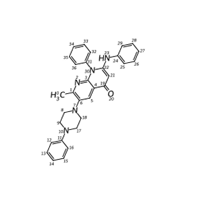 Cc1nc2c(cc1N1CCN(c3ccccc3)CC1)c(=O)cc(Nc1ccccc1)n2-c1ccccc1